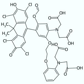 CC1(C)C2=C(Cl)C(=O)C(Cl)=CC2=C(c2cc(OCCOc3ccccc3N(CC(=O)O)CC(=O)O)c(N(CC(=O)O)CC(=O)O)cc2OC=O)c2cc(Cl)c(O)c(Cl)c21